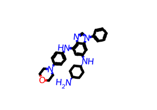 N[C@H]1CC[C@H](Nc2cc(Nc3ccc(N4CCOCC4)cc3)c3ncn(-c4ccccc4)c3c2)CC1